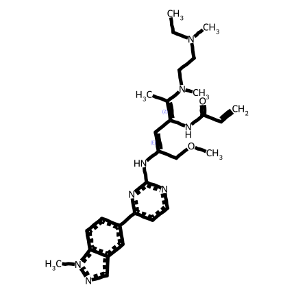 C=CC(=O)NC(/C=C(\COC)Nc1nccc(-c2ccc3c(cnn3C)c2)n1)=C(/C)N(C)CCN(C)CC